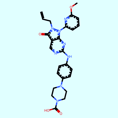 C=CCn1c(=O)c2cnc(Nc3ccc(N4CCN(C(=O)O)CC4)cc3)nc2n1-c1cccc(OC)n1